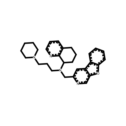 c1cnc2c(c1)CCCC2N(CCCN1CCCCC1)Cc1cc2c(cn1)oc1ccccc12